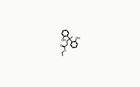 CCOC(=O)CCC(C)(c1ccccc1O)c1ccccc1O